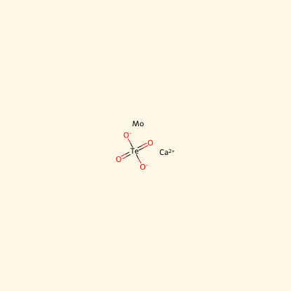 O=[Te](=O)([O-])[O-].[Ca+2].[Mo]